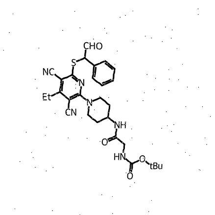 CCc1c(C#N)c(SC(C=O)c2ccccc2)nc(N2CCC(NC(=O)CNC(=O)OC(C)(C)C)CC2)c1C#N